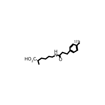 C[C@@H](CCCCNC(=O)CCc1ccc([123I])cc1)C(=O)O